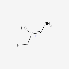 N/C=C(\O)CI